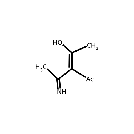 CC(=N)/C(C(C)=O)=C(/C)O